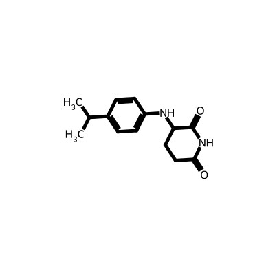 CC(C)c1ccc(NC2CCC(=O)NC2=O)cc1